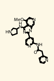 COc1cncc2nc(-c3ccnc(NC(=O)Cc4cccnc4)c3)nc(NC3CCNC3)c12